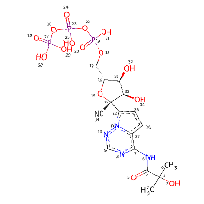 CC(C)(O)C(=O)Nc1ncnn2c([C@]3(C#N)O[C@H](COP(=O)(O)OP(=O)(O)OP(=O)(O)O)[C@@H](O)[C@H]3O)ccc12